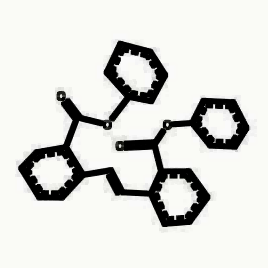 O=C(Oc1ccccc1)c1ccccc1C=Cc1ccccc1C(=O)Oc1ccccc1